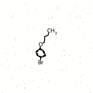 CCCCOc1ccc(Br)cc1